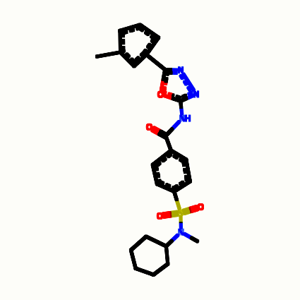 Cc1cccc(-c2nnc(NC(=O)c3ccc(S(=O)(=O)N(C)C4CCCCC4)cc3)o2)c1